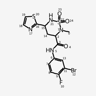 CN1C(C(=O)Nc2ccc(F)c(Br)c2)CC(c2nccs2)NS1(=O)=O